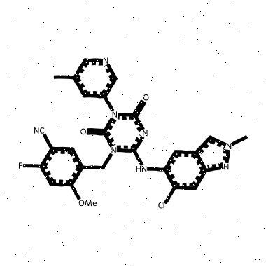 COc1cc(F)c(C#N)cc1Cn1c(Nc2cc3cn(C)nc3cc2Cl)nc(=O)n(-c2cncc(C)c2)c1=O